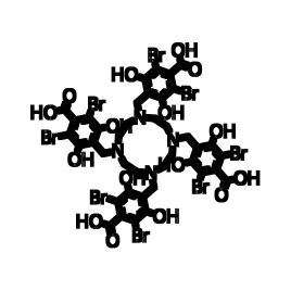 O=C(O)c1c(Br)c(O)c(CN2CCN(Cc3c(O)c(Br)c(C(=O)O)c(Br)c3O)CCN(Cc3c(O)c(Br)c(C(=O)O)c(Br)c3O)CCN(Cc3c(O)c(Br)c(C(=O)O)c(Br)c3O)CC2)c(O)c1Br